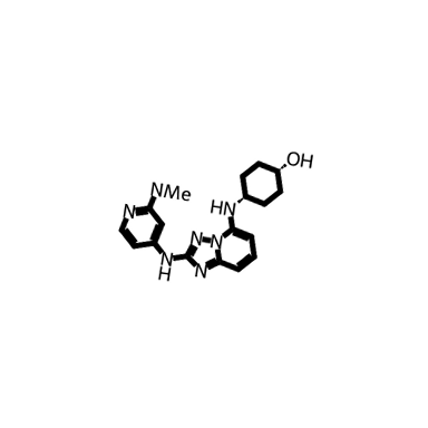 CNc1cc(Nc2nc3cccc(N[C@H]4CC[C@@H](O)CC4)n3n2)ccn1